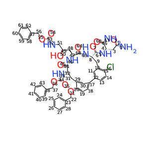 NC(=O)C[C@H](NC(=O)[C@@H]1Cc2cc(ccc2Cl)-c2ccc(OCc3ccccc3)c(c2)C[C@H](NC(=O)OCc2ccccc2)C(=O)N[C@@H](C[C@@H](O)CNC(=O)OCc2ccccc2)C(=O)N1)C(N)=O